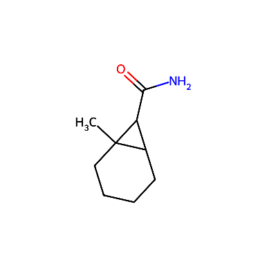 CC12CCCCC1C2C(N)=O